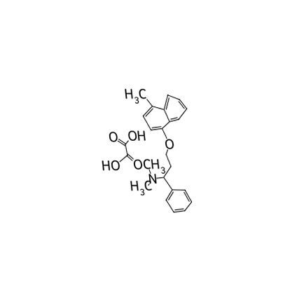 Cc1ccc(OCCC(c2ccccc2)N(C)C)c2ccccc12.O=C(O)C(=O)O